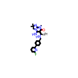 CCC/C(NCc1ccc(-c2cccc(F)n2)cc1)=c1\c(=O)n(C)c2n(c1=N)CC(C)(C)N=2